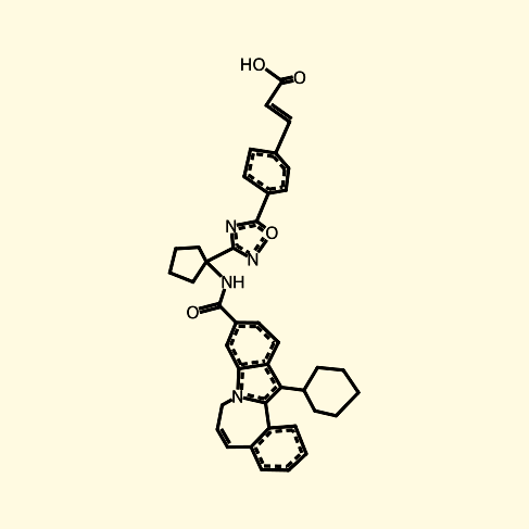 O=C(O)C=Cc1ccc(-c2nc(C3(NC(=O)c4ccc5c(C6CCCCC6)c6n(c5c4)CC=Cc4ccccc4-6)CCCC3)no2)cc1